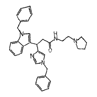 O=C(CC(c1cn(Cc2ccccc2)cn1)c1cn(Cc2ccccc2)c2ccccc12)NCCN1CCCC1